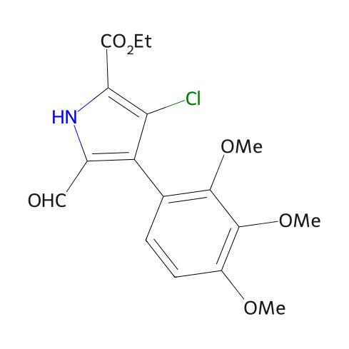 CCOC(=O)c1[nH]c(C=O)c(-c2ccc(OC)c(OC)c2OC)c1Cl